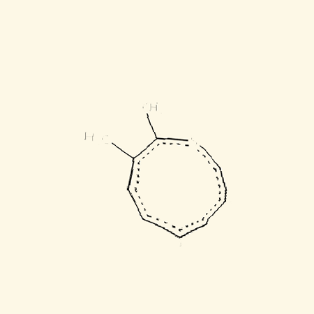 Cc1ccccccsc1C